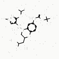 CCn1cc(S(=O)(=O)N2CC(CC(C)C(=O)O)Oc3ccc(NC(=O)OC(C)(C)C(F)(F)F)cc32)c(OC(F)F)n1